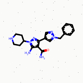 NC(=O)c1c(-c2cnn(Cc3ccccc3)c2)nn(C2CCNCC2)c1N